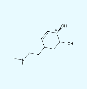 OC1CC(CCNI)C=C[C@H]1O